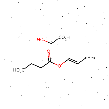 CCCCCCC=COC(=O)CCC(=O)O.O=C(O)CO